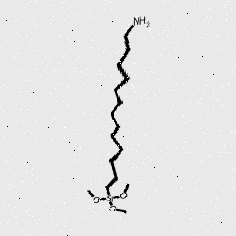 CO[Si](CCCCCCCCCCCCCN)(OC)OC